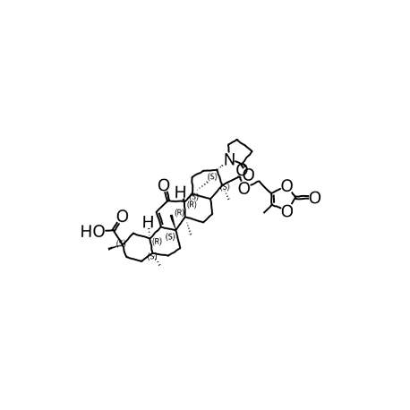 Cc1oc(=O)oc1COC(=O)[C@@]1(C)C2CC[C@]3(C)[C@H](C(=O)C=C4[C@@H]5C[C@@](C)(C(=O)O)CC[C@]5(C)CC[C@]43C)[C@@]2(C)CC[C@@H]1N1CCCC1=O